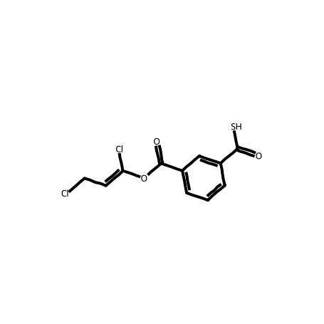 O=C(S)c1cccc(C(=O)OC(Cl)=CCCl)c1